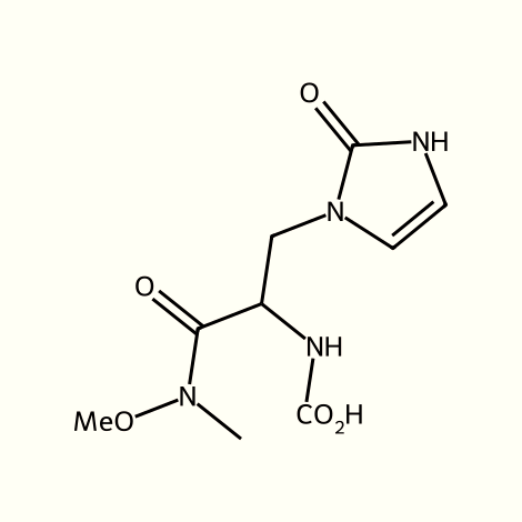 CON(C)C(=O)C(Cn1cc[nH]c1=O)NC(=O)O